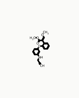 C#CCNc1cccc(Oc2ccccc2C(=COC)C(=O)OC)c1